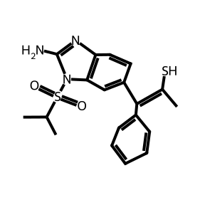 CC(S)=C(c1ccccc1)c1ccc2nc(N)n(S(=O)(=O)C(C)C)c2c1